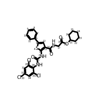 O=C(Nc1sc(-c2ccccc2)cc1C(=O)NCC(=O)OC1CCCCC1)Nc1c(Cl)cc(Cl)cc1Cl